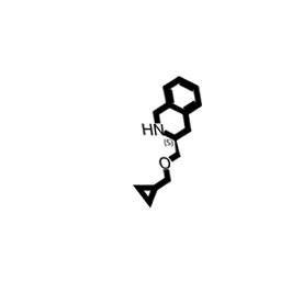 c1ccc2c(c1)CN[C@H](COCC1CC1)C2